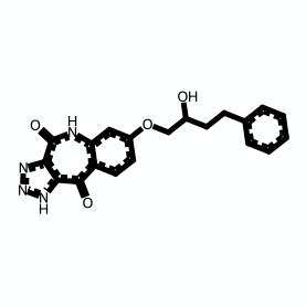 O=c1[nH]c2cc(OCC(O)CCc3ccccc3)ccc2c(=O)c2[nH]nnc12